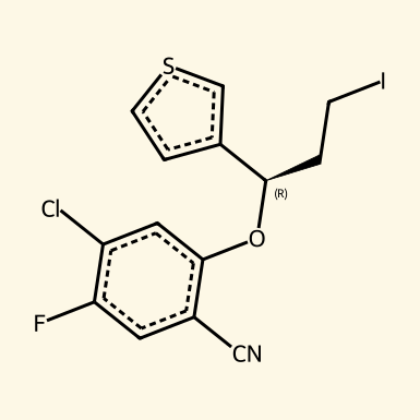 N#Cc1cc(F)c(Cl)cc1O[C@H](CCI)c1ccsc1